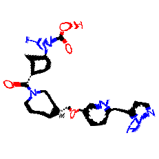 O=C(O)N[C@H]1C[C@H](C(=O)N2CCC[C@@H](COc3ccc(-c4ccn[nH]4)nc3)C2)C1